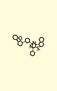 CS1(C)c2ccc3ccccc3c2-c2nc(-c3cccc(-c4cccc5c4oc4ccccc45)c3)nc(-c3ccccc3)c21